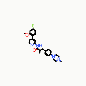 COc1cc(F)ccc1-c1ccnc(NC(=O)C(C)Cc2ccc(N3CCN(C)CC3)cc2)c1